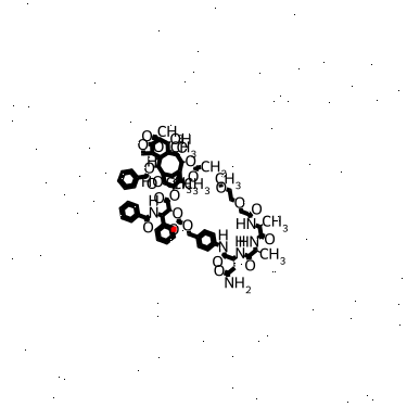 COCCOCC(=O)N[C@H](C)C(=O)N[C@H](C)C(=O)N[C@H](CC(N)=O)C(=O)Nc1ccc(COC(=O)O[C@@H](C(=O)O[C@H]2C[C@@]3(O)[C@@H](OC(=O)c4ccccc4)[C@H]4[C@](C)(C(=O)[C@H](OC(C)=O)C(=C2C)C3(C)C)[C@@H](O)CC2OC[C@]24OC(C)=O)C(NC(=O)c2ccccc2)c2ccccc2)cc1